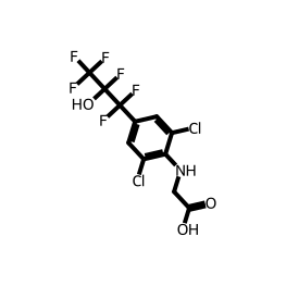 O=C(O)CNc1c(Cl)cc(C(F)(F)C(O)(F)C(F)(F)F)cc1Cl